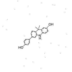 CC1(C)c2ccc(-c3ccc(O)cc3)cc2Nc2ccc(O)cc21